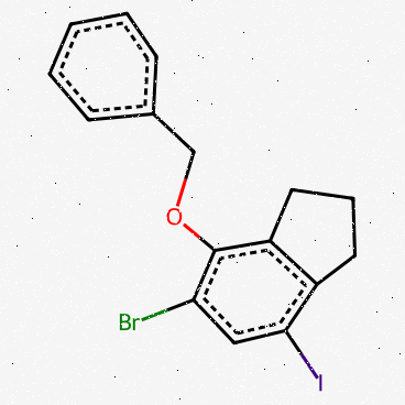 Brc1cc(I)c2c(c1OCc1ccccc1)CCC2